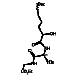 CCCCCCCCCCCCCCC(O)C(=O)N[C@@H](CCCC)C(=O)NCC(=O)OCC